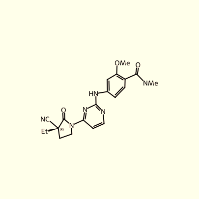 CC[C@]1(C#N)CCN(c2ccnc(Nc3ccc(C(=O)NC)c(OC)c3)n2)C1=O